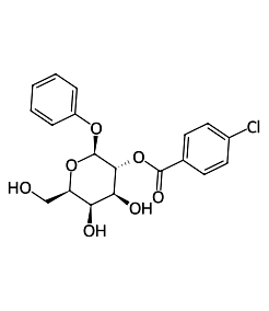 O=C(O[C@H]1[C@H](Oc2ccccc2)O[C@H](CO)[C@H](O)[C@@H]1O)c1ccc(Cl)cc1